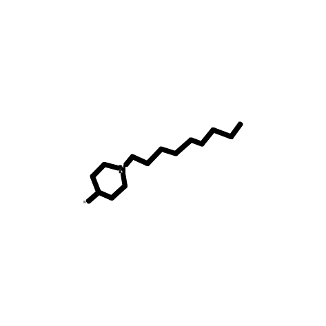 [CH2]C1CCN(CCCCCCCCC)CC1